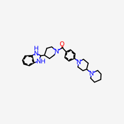 O=C(c1ccc(N2CCC(N3CCCCC3)CC2)cc1)N1CCC(C2Nc3ccccc3N2)CC1